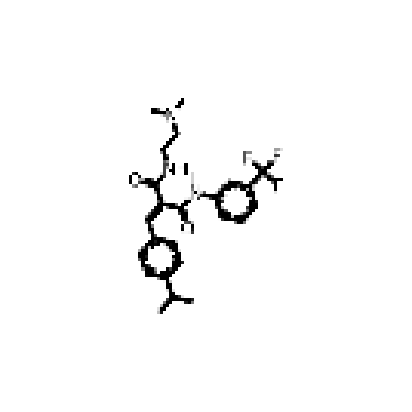 CC(C)c1ccc(/C=C(/C(=O)NCCN(C)C)C(=O)Nc2cccc(C(F)(F)F)c2)cc1